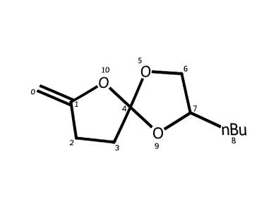 C=C1CCC2(OCC(CCCC)O2)O1